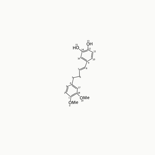 COc1ccc(CCC=Cc2ccc(O)c(O)c2)cc1OC